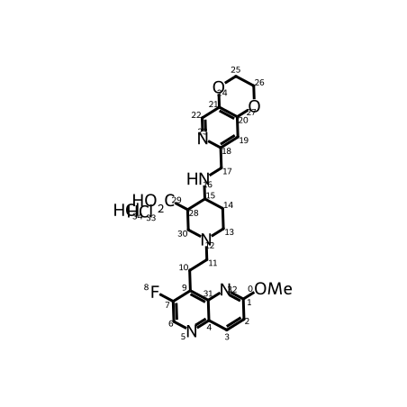 COc1ccc2ncc(F)c(CCN3CCC(NCc4cc5c(cn4)OCCO5)C(C(=O)O)C3)c2n1.Cl.Cl